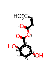 O=C(O)/C=C\C(=O)OC(=O)c1cc(O)ccc1O